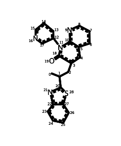 CC(Cc1cc2cccnc2n(-c2cccnc2)c1=O)c1nc2ccccc2s1